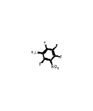 Cc1c(F)c(F)c(F)c([N+](=O)[O-])c1F